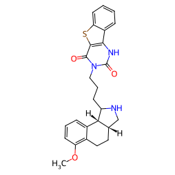 COc1cccc2c1CC[C@H]1CNC(CCCn3c(=O)[nH]c4c(sc5ccccc54)c3=O)[C@@H]21